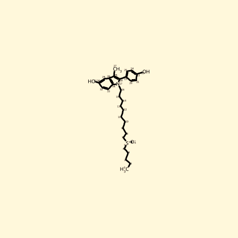 CCCCC[S+]([O-])CCCCCCCCCCn1c(-c2ccc(O)cc2)c(C)c2cc(O)ccc21